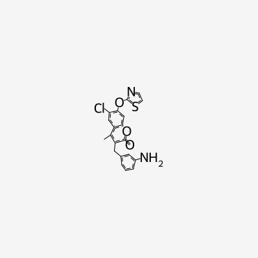 Cc1c(Cc2cccc(N)c2)c(=O)oc2cc(Oc3nccs3)c(Cl)cc12